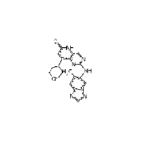 Cc1cc2ncnn2cc1Nc1ncc2[nH]c(=O)cc(C3CCOCC3)c2n1